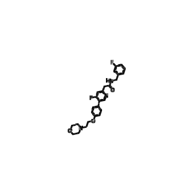 O=C(Cc1cc(F)c(-c2ccc(OCCN3CCOCC3)cc2)cn1)NCc1cccc(F)c1